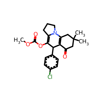 COC(=O)OC1=C2CCCN2C2=C(C(=O)CC(C)(C)C2)C1c1ccc(Cl)cc1